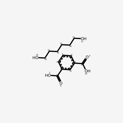 O=C(O)c1cccc(C(=O)O)c1.OCCCCCCO